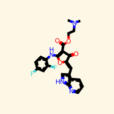 CN(C)CCOC(=O)C1=C(Nc2ccc(F)cc2F)OC(=Cc2c[nH]c3ncccc23)C1=O